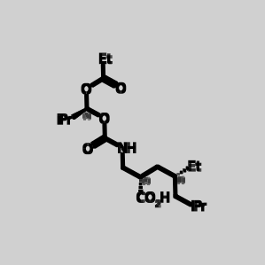 CCC(=O)O[C@@H](OC(=O)NC[C@H](C[C@H](CC)CC(C)C)C(=O)O)C(C)C